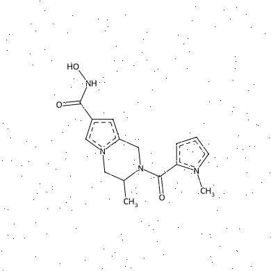 CC1Cn2cc(C(=O)NO)cc2CN1C(=O)c1cccn1C